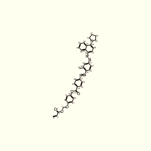 C=CC(=O)OCOc1ccc(OC(=O)c2ccc(N=Nc3ccc(N=Nc4ccc(N5CCCC5)c5ccccc45)cc3C)cc2)cc1